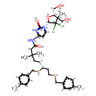 CC(C)(CC[C@H](CCSCc1ccc(C(F)(F)F)cc1)SCc1ccc(C(F)(F)F)cc1)CC(=O)Nc1ccn([C@@H]2O[C@H](CO)C(C)(CO)C2(F)F)c(=O)n1